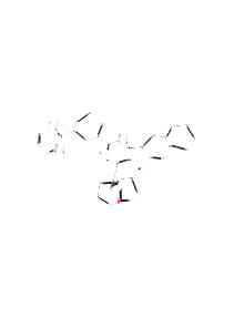 CC1(c2ccccc2)c2cc3ccccc3cc2-c2nc(-c3cccc(-c4ncccn4)c3)nc(-c3ccccc3)c21